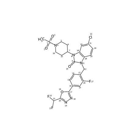 CS(=O)(=O)N1CCC(n2c(=O)n(Cc3ccc(-c4nnc(C(F)F)o4)cc3F)c3ccc(Cl)cc32)CC1